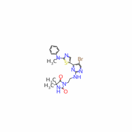 CN(c1ccccc1)c1ncc(-c2nc(NCCN3C(=O)NC(C)(C)C3=O)ncc2Br)s1